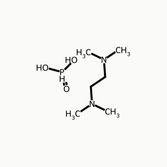 CN(C)CCN(C)C.O=[PH](O)O